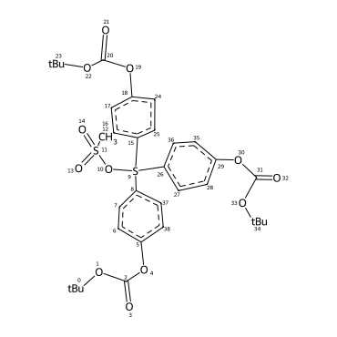 CC(C)(C)OC(=O)Oc1ccc(S(OS(C)(=O)=O)(c2ccc(OC(=O)OC(C)(C)C)cc2)c2ccc(OC(=O)OC(C)(C)C)cc2)cc1